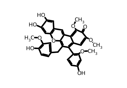 COc1cc(Cc2c(-c3ccc(O)cc3OC)c3cc(OC)c(=O)c(OC)c3c3cc4cc(O)c(O)cc4oc23)ccc1O